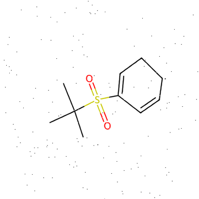 CC(C)(C)S(=O)(=O)C1=CC[CH]C=C1